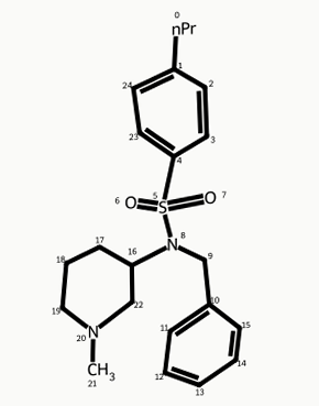 CCCc1ccc(S(=O)(=O)N(Cc2ccccc2)C2CCCN(C)C2)cc1